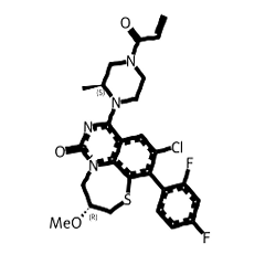 C=CC(=O)N1CCN(c2nc(=O)n3c4c(c(-c5ccc(F)cc5F)c(Cl)cc24)SC[C@H](OC)C3)[C@@H](C)C1